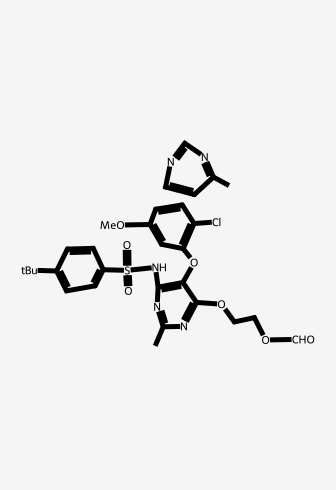 COc1ccc(Cl)c(Oc2c(NS(=O)(=O)c3ccc(C(C)(C)C)cc3)nc(C)nc2OCCOC=O)c1.Cc1ccncn1